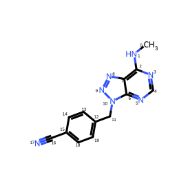 CNc1ncnc2c1nnn2Cc1ccc(C#N)cc1